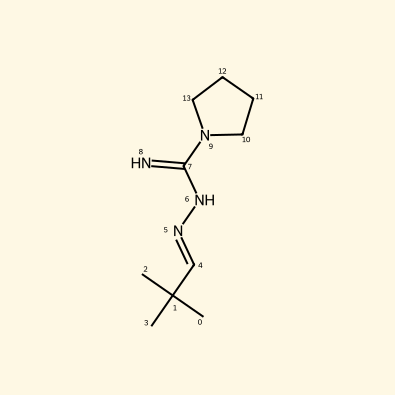 CC(C)(C)/C=N/NC(=N)N1CCCC1